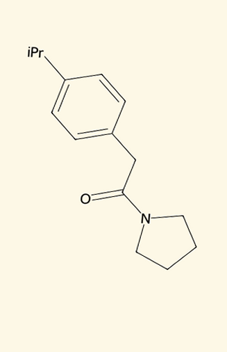 CC(C)c1ccc(CC(=O)N2CCCC2)cc1